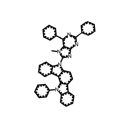 Cn1c(-n2c3ccccc3c3c2ccc2c4ccccc4n(-c4ccccc4)c23)nc2nc(-c3ccccc3)nc(-c3ccccc3)c21